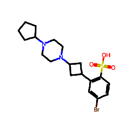 O=S(=O)(O)c1ccc(Br)cc1C1CC(N2CCN(C3CCCC3)CC2)C1